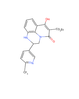 CCOC(=O)c1c(O)c2cccc3c2n(c1=O)CC(c1ccc(C(F)(F)F)nc1)N3